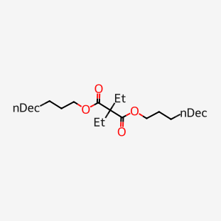 CCCCCCCCCCCCCOC(=O)C(CC)(CC)C(=O)OCCCCCCCCCCCCC